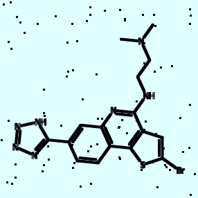 CN(C)CCNc1nc2cc(-c3nnn[nH]3)ccc2c2sc(Br)cc12